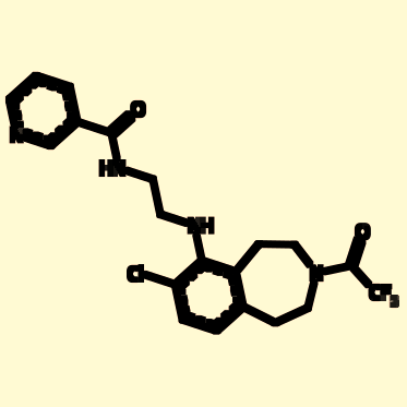 O=C(NCCNc1c(Cl)ccc2c1CCN(C(=O)C(F)(F)F)CC2)c1cccnc1